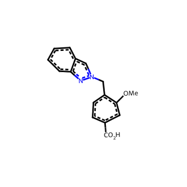 COc1cc(C(=O)O)ccc1Cn1cc2ccccc2n1